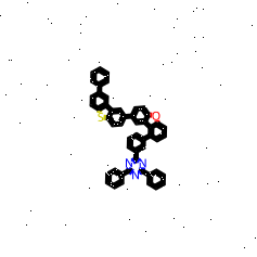 c1ccc(-c2ccc3sc4ccc(-c5ccc6oc7cccc(-c8cccc(-c9nc(-c%10ccccc%10)nc(-c%10ccccc%10)n9)c8)c7c6c5)cc4c3c2)cc1